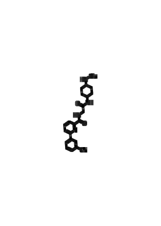 CC(C)(C)NC1CCC(NC(=O)CNC(=O)c2cccc(-c3cccc(C#N)c3)n2)CC1